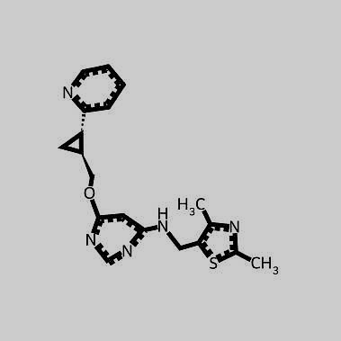 Cc1nc(C)c(CNc2cc(OC[C@H]3C[C@@H]3c3ccccn3)ncn2)s1